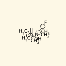 CCC(=O)N[C@H](C(C)C)C(O)N1CCC(C2=CCC(F)C=C2)C(C)(C)C1